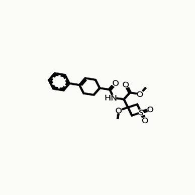 COC(=O)C(NC(=O)C1CC=C(c2ccccc2)CC1)C1(OC)CS(=O)(=O)C1